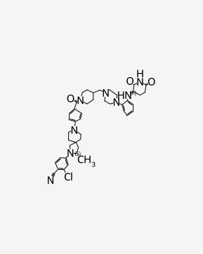 C[C@H]1CC2(CCN(c3ccc(C(=O)N4CCC(CN5CCN(c6ccccc6N[C@@H]6CCC(=O)NC6=O)CC5)CC4)cc3)CC2)CN1c1ccc(C#N)c(Cl)c1